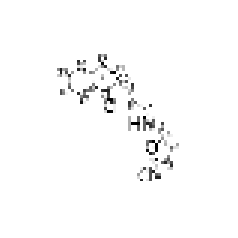 Clc1ccc(CNCCCc2ccc3ccccc3c2Cl)o1